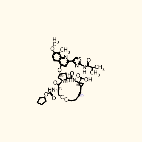 COc1ccc2c(O[C@@H]3C[C@H]4C(=O)N[C@]5(C(=O)O)CC5/C=C\CCCCC[C@H](NC(=O)OC5CCCC5)C(=O)N4C3)cc(-c3csc(NC(=O)C(C)C)n3)nc2c1C